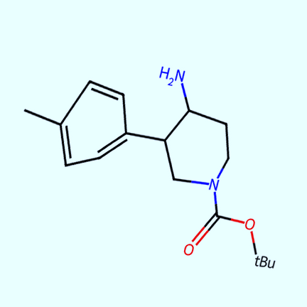 Cc1ccc(C2CN(C(=O)OC(C)(C)C)CCC2N)cc1